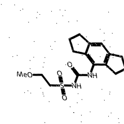 COCCS(=O)(=O)NC(=O)Nc1c2c(cc3c1CCC3)CCC2